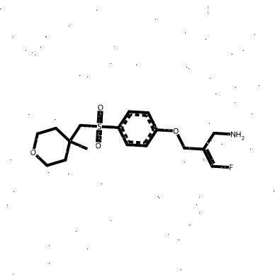 CC1(CS(=O)(=O)c2ccc(OC/C(=C/F)CN)cc2)CCOCC1